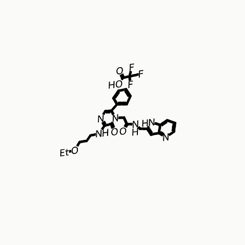 CCOCCCNc1ncc(-c2ccccc2)n(CC(=O)NCc2cc3ncccc3[nH]2)c1=O.O=C(O)C(F)(F)F